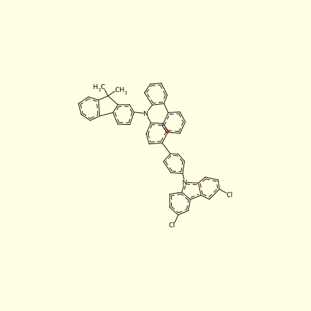 CC1(C)c2ccccc2-c2ccc(N(c3ccc(-c4ccc(-n5c6ccc(Cl)cc6c6cc(Cl)ccc65)cc4)cc3)c3ccccc3-c3ccccc3)cc21